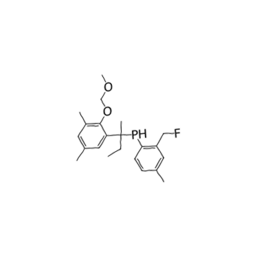 CCC(C)(Pc1ccc(C)cc1CF)c1cc(C)cc(C)c1OCOC